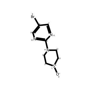 [O-][S+]1CCN(c2ncc(Br)cn2)CC1